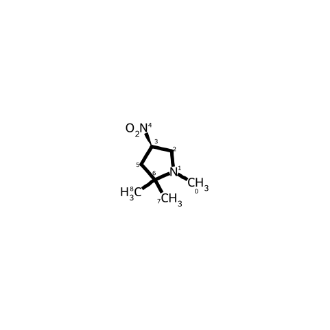 CN1C[C@H]([N+](=O)[O-])CC1(C)C